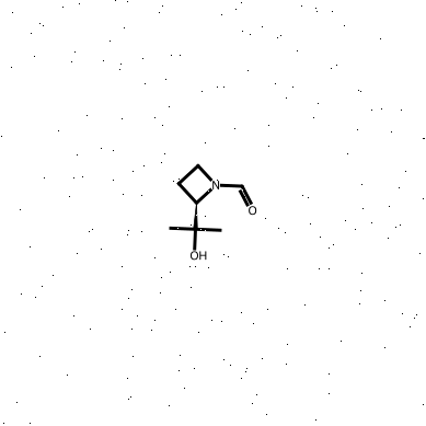 CC(C)(O)[C@H]1CCN1C=O